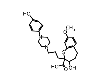 COc1ccc2c(c1)SC(CCCN1CCN(c3ccc(O)cc3)CC1)(C(=O)O)C(O)CC2